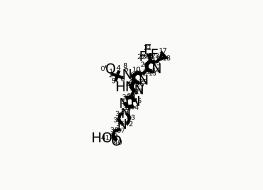 COCC(C)(C)CN(C)c1cc(-c2cnc(C3CC3)c(C(F)(F)F)c2)nc2nc(-c3cnc(N4CCN(CCC(=O)O)CC4)cn3)[nH]c12